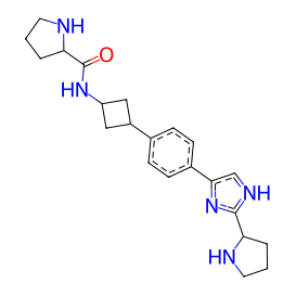 O=C(NC1CC(c2ccc(-c3c[nH]c(C4CCCN4)n3)cc2)C1)C1CCCN1